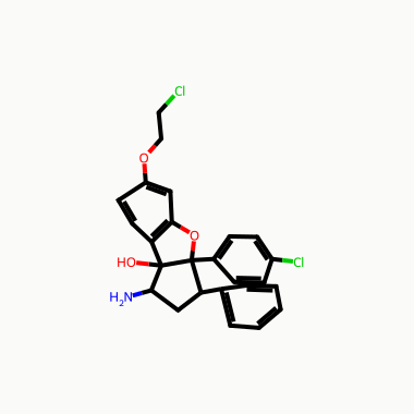 NC1CC(c2ccccc2)C2(c3ccc(Cl)cc3)Oc3cc(OCCCl)ccc3C12O